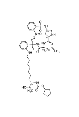 C=C[C@@H]1C[C@]1(NC(=O)[C@@H]1C[C@@H](NS(=O)(=O)c2ccccc2[N+](=O)[O-])CN1)C(=O)NS(=O)(=O)c1ccccc1NCCCCCCC[C@H](NC(=O)OC1CCCC1)C(=C)O